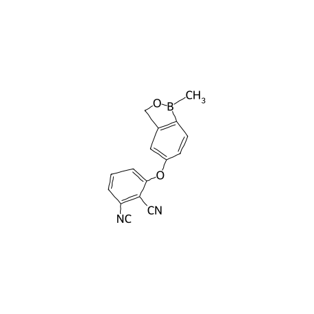 [C-]#[N+]c1cccc(Oc2ccc3c(c2)COB3C)c1C#N